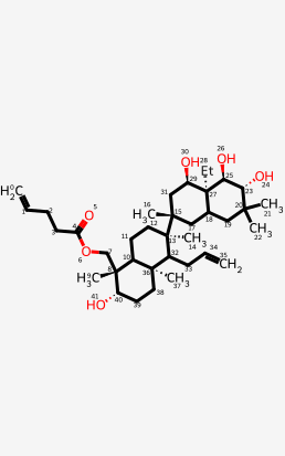 C=CCCC(=O)OC[C@]1(C)C2CC[C@@](C)([C@@]3(C)CC4CC(C)(C)[C@@H](O)[C@H](O)[C@]4(CC)[C@H](O)C3)C(CC=C)[C@@]2(C)CC[C@@H]1O